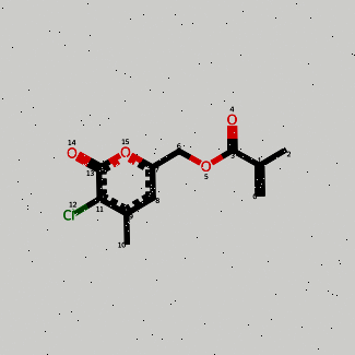 C=C(C)C(=O)OCc1cc(C)c(Cl)c(=O)o1